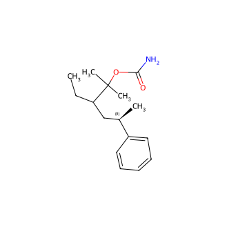 CCC(C[C@@H](C)c1ccccc1)C(C)(C)OC(N)=O